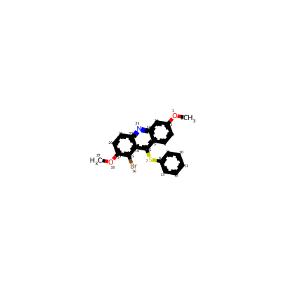 COc1ccc2c(Sc3ccccc3)c3c(Br)c(OC)ccc3nc2c1